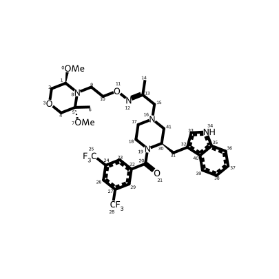 CO[C@@H]1COC[C@@](C)(OC)N1CCON=C(C)CN1CCN(C(=O)c2cc(C(F)(F)F)cc(C(F)(F)F)c2)[C@H](Cc2c[nH]c3ccccc23)C1